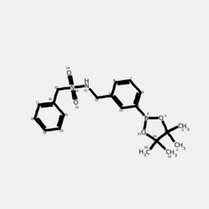 CC1(C)OB(c2cccc(CNS(=O)(=O)Cc3ccccc3)c2)OC1(C)C